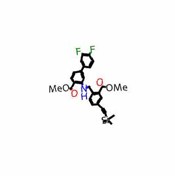 COC(=O)c1cc(C#C[Si](C)(C)C)ccc1CNc1cc(-c2ccc(F)c(F)c2)ccc1C(=O)OC